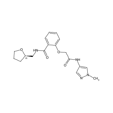 Cn1cc(NC(=O)COc2ccccc2C(=O)NC[C@H]2CCCO2)cn1